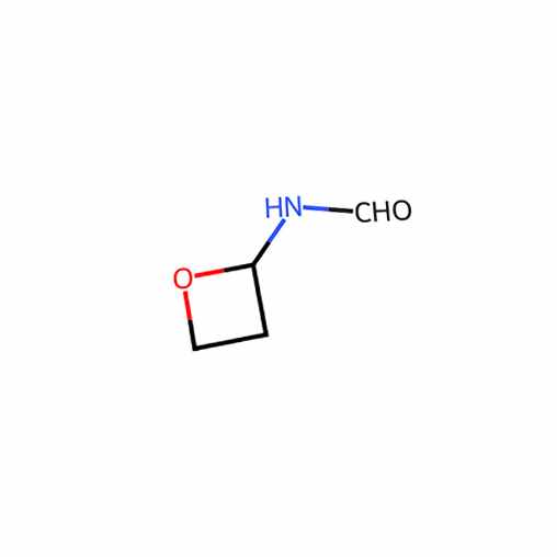 O=CNC1CCO1